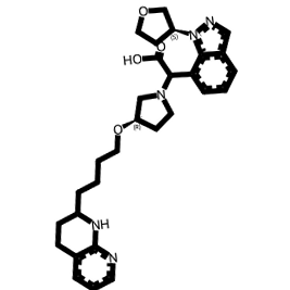 O=C(O)C(c1cccc2cnn([C@H]3CCOC3)c12)N1CC[C@@H](OCCCCC2CCc3cccnc3N2)C1